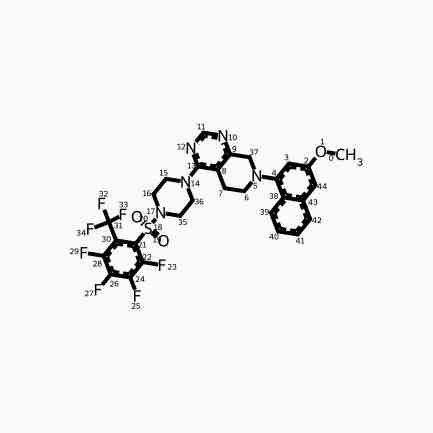 COc1cc(N2CCc3c(ncnc3N3CCN(S(=O)(=O)c4c(F)c(F)c(F)c(F)c4C(F)(F)F)CC3)C2)c2ccccc2c1